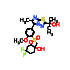 COc1ccc(-c2c(C)nc3sc(C(C)(C)O)nn23)cc1S(=O)(=O)CC1(O)CCC(F)(F)CC1